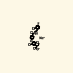 O=C(NCCc1ccc(F)cc1Cl)c1ccc(Oc2cc3c(cc2Cl)C(C(=O)[O-])CCO3)cc1.[Na+]